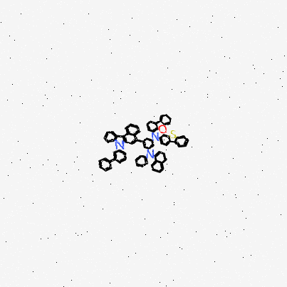 c1ccc(-c2cccc(-n3c4ccccc4c4c5ccccc5c(-c5cc(N(c6ccccc6)c6cccc7ccccc67)cc(N(c6ccc7c(c6)sc6ccccc67)c6cccc7c6oc6ccccc67)c5)cc43)c2)cc1